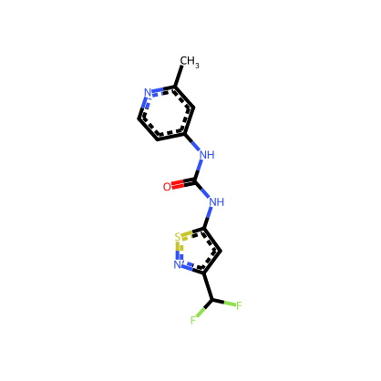 Cc1cc(NC(=O)Nc2cc(C(F)F)ns2)ccn1